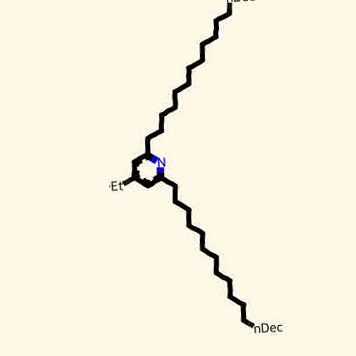 C[CH]c1cc(CCCCCCCCCCCCCCCCCCCCCC)nc(CCCCCCCCCCCCCCCCCCCCCC)c1